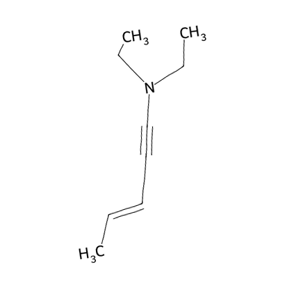 CC=CC#CN(CC)CC